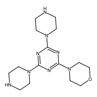 C1CN(c2nc(N3CCNCC3)nc(N3CCOCC3)n2)CCN1